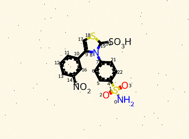 NS(=O)(=O)c1ccc(N2C(c3cccc([N+](=O)[O-])c3)=CSC2S(=O)(=O)O)cc1